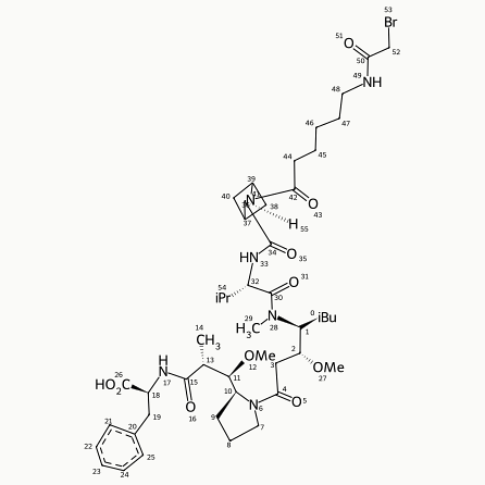 CC[C@H](C)[C@@H]([C@@H](CC(=O)N1CCC[C@H]1[C@H](OC)[C@@H](C)C(=O)N[C@@H](Cc1ccccc1)C(=O)O)OC)N(C)C(=O)[C@@H](NC(=O)[C@@H]1C2CC(C2)N1C(=O)CCCCCNC(=O)CBr)C(C)C